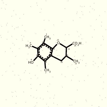 Cc1c(C)c2c(c(C)c1O)CC(C)C(C(=O)O)O2